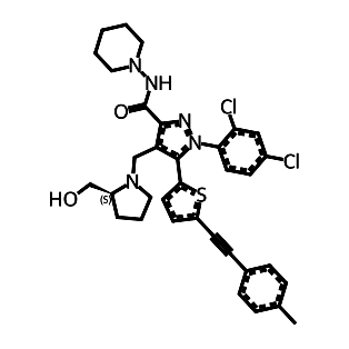 Cc1ccc(C#Cc2ccc(-c3c(CN4CCC[C@H]4CO)c(C(=O)NN4CCCCC4)nn3-c3ccc(Cl)cc3Cl)s2)cc1